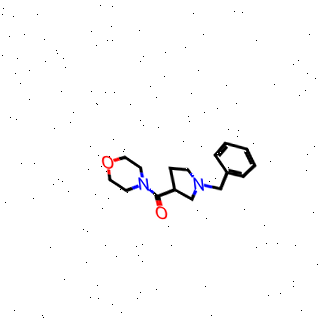 O=C(C1CCN(Cc2ccccc2)C1)N1CCOCC1